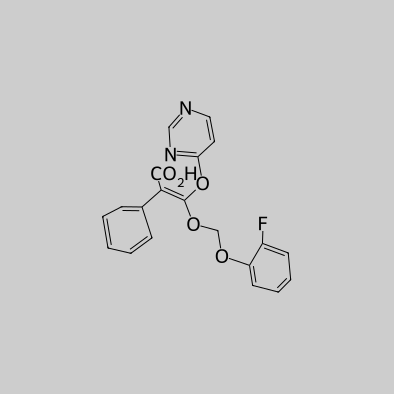 O=C(O)C(=C(OCOc1ccccc1F)Oc1ccncn1)c1ccccc1